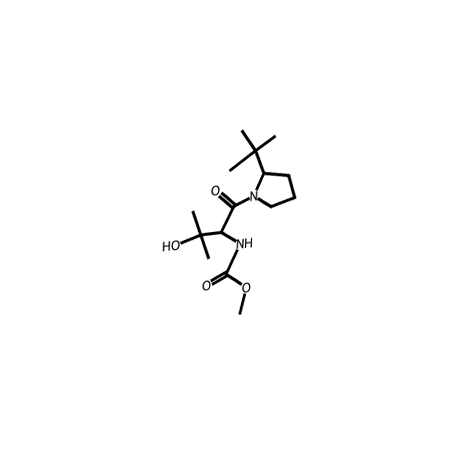 COC(=O)NC(C(=O)N1CCCC1C(C)(C)C)C(C)(C)O